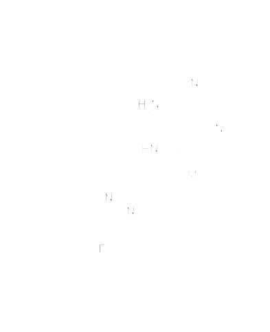 Nc1nccnc1C(=O)Nc1cnn(-c2ccccc2F)c1